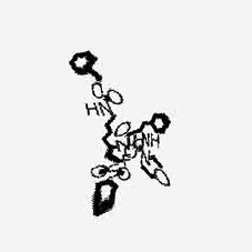 O=C(NCCCCC(C=C(F)S(=O)(=O)c1ccccc1)NC(=O)C(Cc1ccccc1)NC(=O)N1CCOCC1)OCc1ccccc1